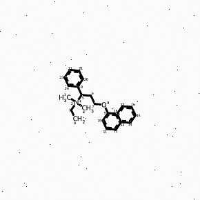 [CH2]C[N+](C)(C)C(CCOc1cccc2ccccc12)c1ccccc1